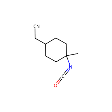 CC1(N=C=O)CCC(CC#N)CC1